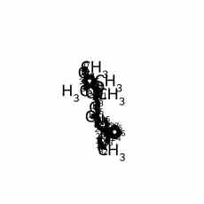 COc1cc(C)c(S(=O)(=O)N(C)CCOCC(=O)N2CCC(c3ccccc3)(N3CCN(C)CC3)CC2)c(C)c1